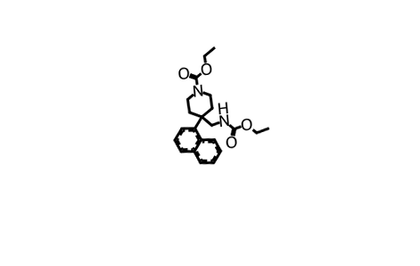 CCOC(=O)NCC1(c2cccc3ccccc23)CCN(C(=O)OCC)CC1